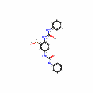 O=C(Nc1ccccc1)Nc1ccc(NC(=O)Nc2ccccc2)c(SO)c1